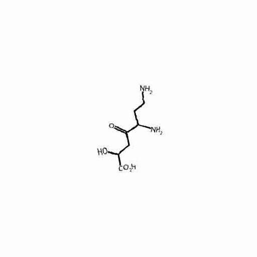 NCCC(N)C(=O)CC(O)C(=O)O